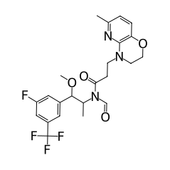 COC(c1cc(F)cc(C(F)(F)F)c1)C(C)N(C=O)C(=O)CCN1CCOc2ccc(C)nc21